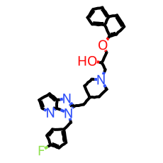 OC(COc1cccc2ccccc12)CN1CCC(Cc2nc3cccnc3n2Cc2ccc(F)cc2)CC1